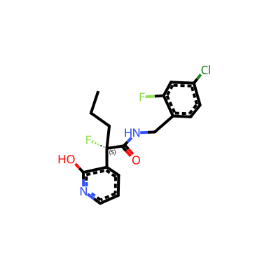 CCC[C@@](F)(C(=O)NCc1ccc(Cl)cc1F)c1cccnc1O